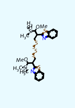 COC(C(CSSSSCC(c1nc2ccccc2s1)C(OC)[SiH](C)C)c1nc2ccccc2s1)[SiH](C)C